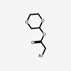 CC(=O)CC(=O)OC1COCCO1